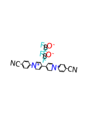 N#Cc1ccc(-[n+]2ccc(-c3cc[n+](-c4ccc(C#N)cc4)cc3)cc2)cc1.[O-]B(F)F.[O-]B(F)F